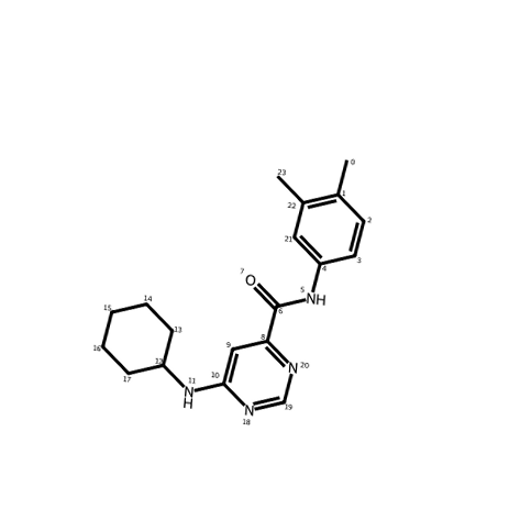 Cc1ccc(NC(=O)c2cc(NC3CCCCC3)ncn2)cc1C